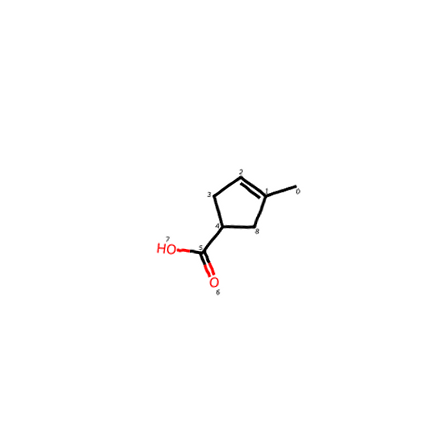 CC1=CCC(C(=O)O)C1